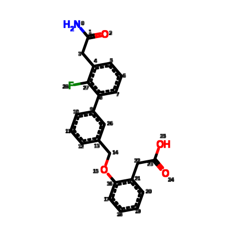 NC(=O)Cc1cccc(-c2cccc(COc3ccccc3CC(=O)O)c2)c1F